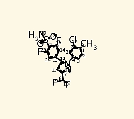 Cc1ccc(-n2nc(C(F)F)cc2-c2cc(F)c(S(N)(=O)=O)c(F)c2)cc1Cl